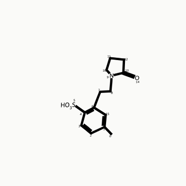 Cc1ccc(S(=O)(=O)O)c(CCN2CCCC2=O)c1